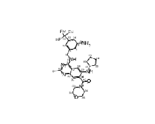 Cc1nc(NCc2cc(N)cc(C(F)(F)F)c2)c2cc(NC3CCCC3)c(C(=O)N3CCOCC3)cc2n1